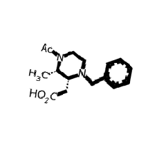 CC(=O)N1CCN(Cc2ccccc2)[C@H](CC(=O)O)[C@@H]1C